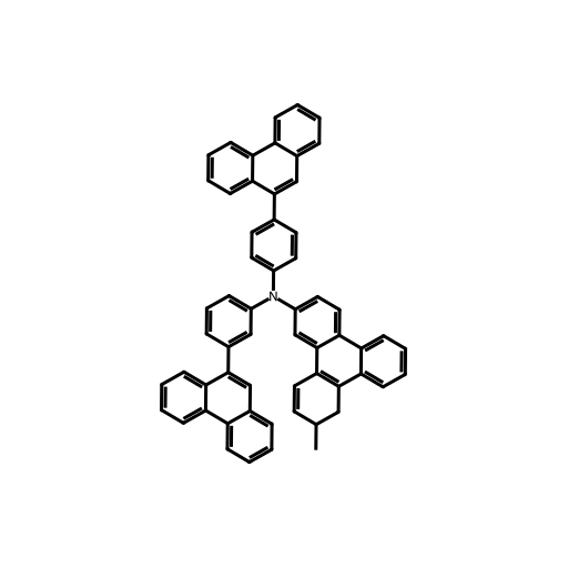 CC1C=Cc2c(c3ccccc3c3ccc(N(c4ccc(-c5cc6ccccc6c6ccccc56)cc4)c4cccc(-c5cc6ccccc6c6ccccc56)c4)cc23)C1